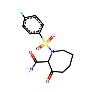 NC(=O)C1C(=O)[CH]CCCN1S(=O)(=O)c1ccc(F)cc1